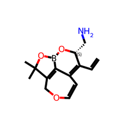 C=CC1=C2C=COCC3=C2B(O[C@@H]1CN)OC3(C)C